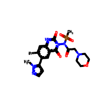 CC(C)c1cc2[nH]c(=O)n(N(C(=O)CN3CCOCC3)S(C)(=O)=O)c(=O)c2cc1-c1ccnn1C